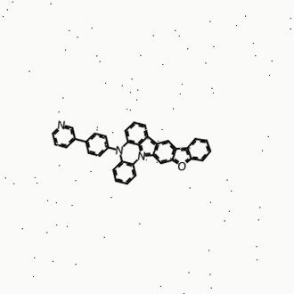 c1cncc(-c2ccc(N3c4ccccc4-n4c5cc6oc7ccccc7c6cc5c5cccc3c54)cc2)c1